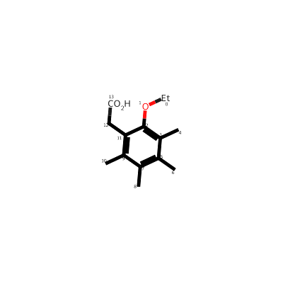 CCOc1c(C)c(C)c(C)c(C)c1CC(=O)O